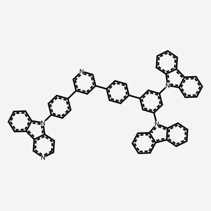 c1ccc2c(c1)c1ccccc1n2-c1cc(-c2ccc(-c3cncc(-c4ccc(-n5c6ccccc6c6cnccc65)cc4)c3)cc2)cc(-n2c3ccccc3c3ccccc32)c1